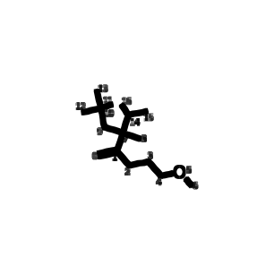 C=C(CCCOC)C(C)(CC(C)(C)C)C(C)C